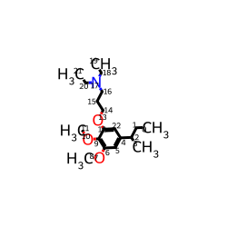 CCC(C)c1cc(OC)c(OC)c(OCCCN(CC)CC)c1